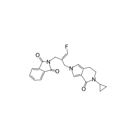 O=C1c2ccccc2C(=O)N1C/C(=C\F)Cn1cc2c(c1)C(=O)N(C1CC1)CC2